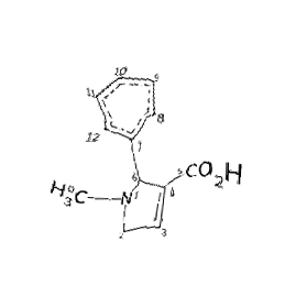 CN1CC=C(C(=O)O)C1c1ccccc1